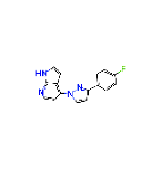 Fc1ccc(-c2ccn(-c3ccnc4[nH]ccc34)n2)cc1